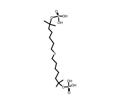 CC(C)(CCCCCSCCCCCC(C)(C)OP(=O)(O)O)OP(=O)(O)O